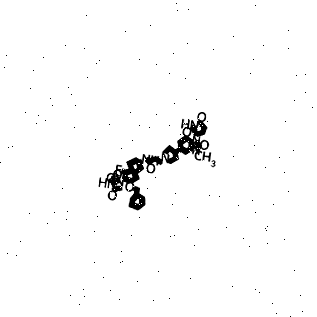 Cn1c(=O)n(C2CCC(=O)NC2=O)c2ccc(C3CCN(CCC(=O)Nc4ccc5c(F)c(N6CC(=O)NS6(=O)=O)c(OCc6ccccc6)cc5c4)CC3)cc21